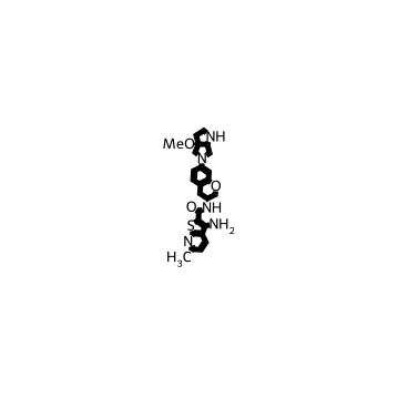 CO[C@@]12CCNC1CN(c1ccc3c(c1)OC[C@H](NC(=O)c1sc4nc(C)ccc4c1N)C3)C2